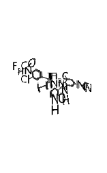 Cc1cc(-n2ccnc2)cc2[nH]c(-c3c(NCC(F)c4ccc(NC(=O)C(F)(F)F)c(Cl)c4)cc[nH]c3=O)nc12